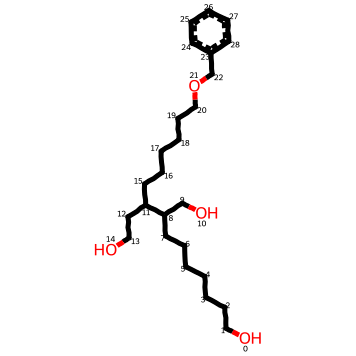 OCCCCCCCC(CO)C(CCO)CCCCCCOCc1ccccc1